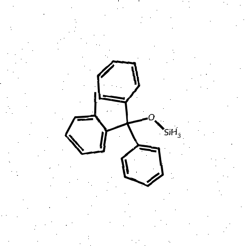 Cc1ccccc1C(O[SiH3])(c1ccccc1)c1ccccc1